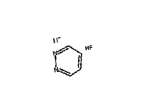 F.F.c1ccnnc1